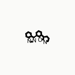 c1ccc2c(-c3cccc4c3oc3ncccc34)ncnc2c1